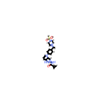 CC(c1ccc(N2C=CC=C3NN(NC(=O)C4CC4)C=C32)cc1)N1CCN(S(C)(=O)=O)CC1